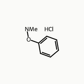 CNOc1ccccc1.Cl